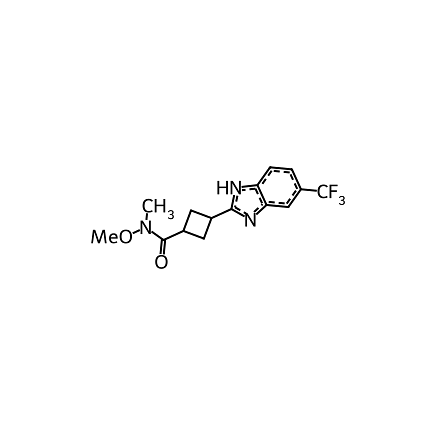 CON(C)C(=O)C1CC(c2nc3cc(C(F)(F)F)ccc3[nH]2)C1